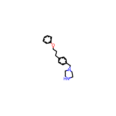 c1ccc(OCCCc2ccc(CN3CCNCC3)cc2)cc1